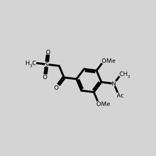 COc1cc(C(=O)CS(C)(=O)=O)cc(OC)c1N(C)C(C)=O